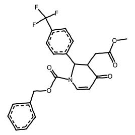 COC(=O)CC1C(=O)C=CN(C(=O)OCc2ccccc2)C1c1ccc(C(F)(F)F)cc1